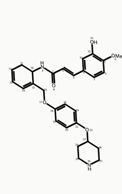 COc1ccc(/C=C/C(=O)NC2CC=CC=C2COc2ccc(OC3CCNCC3)cc2)cc1O